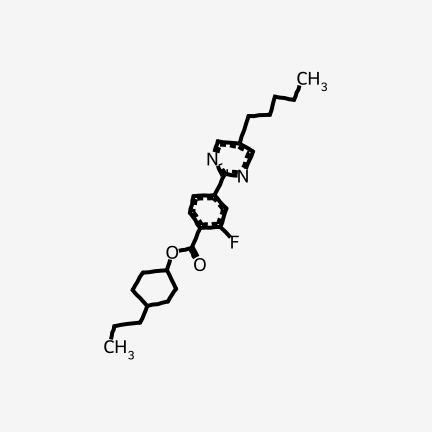 CCCCCc1cnc(-c2ccc(C(=O)OC3CCC(CCC)CC3)c(F)c2)nc1